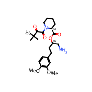 CCC(C)(C)C(=O)C(=O)N1CCCC[C@H]1C(=O)O[C@@H](CN)CCc1ccc(OC)c(OC)c1